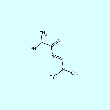 [2H]C(C)C(=O)N=CN(C)C